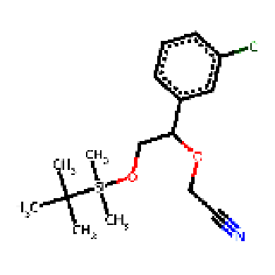 CC(C)(C)[Si](C)(C)OCC(OCC#N)c1cccc(Cl)c1